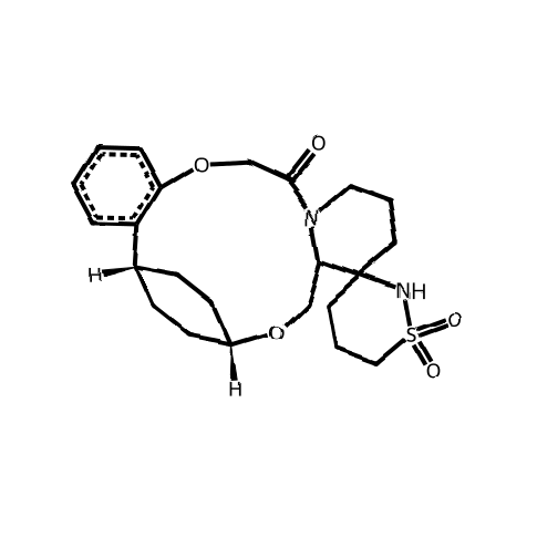 O=C1COc2ccccc2[C@H]2CC[C@H](CC2)OCC2N1CCCC21CCCS(=O)(=O)N1